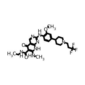 CCNC(=O)c1c(NC)[nH]c2nc(Nc3ccc(C4CCN(CCC(F)(F)F)CC4)cc3OC)ncc2c1=O